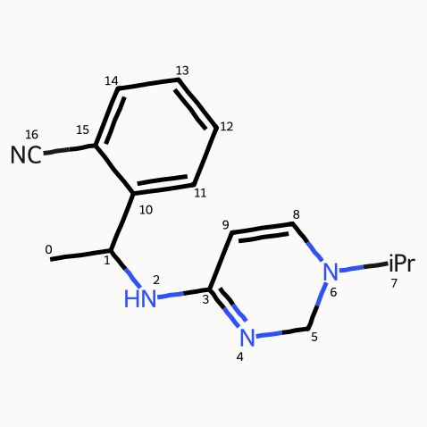 CC(NC1=NCN(C(C)C)C=C1)c1ccccc1C#N